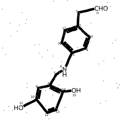 O=CCc1ccc(NCc2cc(O)ccc2O)cc1